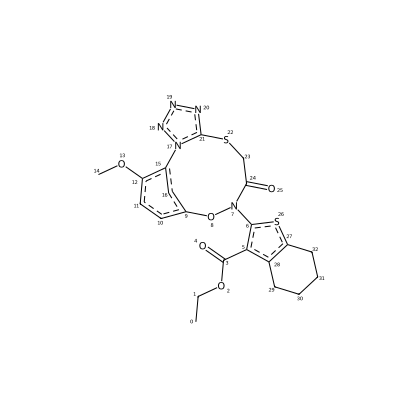 CCOC(=O)c1c(N2Oc3ccc(OC)c(c3)-n3nnnc3SCC2=O)sc2c1CCCC2